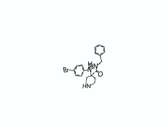 O=C(NCc1ccccc1)C1(Nc2ccc(Br)cc2)CCNCC1